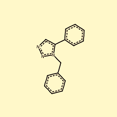 c1ccc(Cn2nncc2-c2ccccc2)cc1